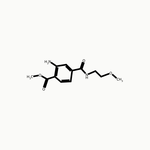 COCCNC(=O)c1ccc(C(=O)OC)c(N)c1